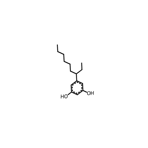 CCCCCCC(CC)c1cc(O)cc(O)c1